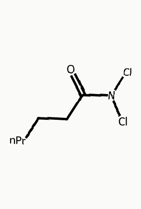 CCCCCC(=O)N(Cl)Cl